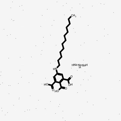 CCCCCCCCCCCCCNc1cc(C(=O)O)c(C(=O)O)c(C(=O)O)c1.[NaH].[NaH].[NaH]